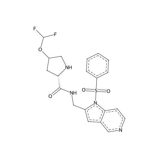 O=C(NCc1cc2cnccc2n1S(=O)(=O)c1ccccc1)[C@@H]1CC(OC(F)F)CN1